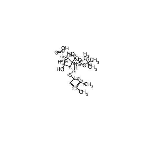 Cc1ccc(SC[C@@H]2[C@@H](O)[C@H]3[C@H](C(=O)O)[C@H]3[C@]2(NC(=O)OC(C)(C)C)C(=O)O)cc1C